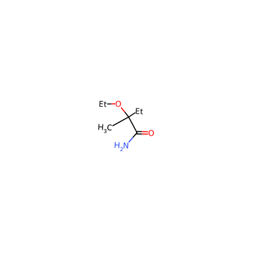 CCOC(C)(CC)C(N)=O